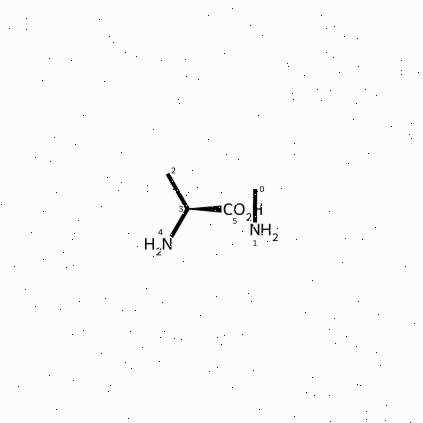 CN.C[C@H](N)C(=O)O